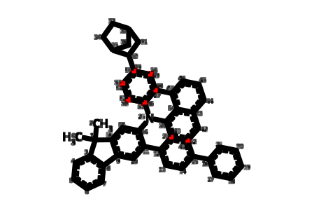 CC1(C)c2ccccc2-c2cc(-c3ccc(-c4ccccc4)cc3)c(N(c3ccc(C4CC5CCC4C5)cc3)c3cccc4cccc(C5CCCCC5)c34)cc21